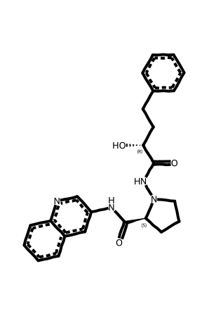 O=C(NN1CCC[C@H]1C(=O)Nc1cnc2ccccc2c1)[C@H](O)CCc1ccccc1